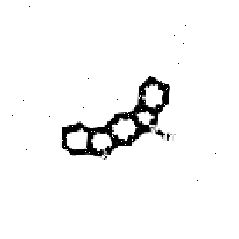 CC(C)n1c2ccccc2c2cc3c4c(sc3cc21)CCC=C4